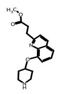 COC(=O)CCc1ccc2cccc(OC3CCNCC3)c2n1